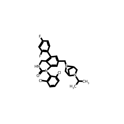 CC(C)N1CC2CC1CN2Cc1cc(-c2ccc(F)cc2F)c2c(c1)N(c1c(Cl)cccc1Cl)C(=O)NC2